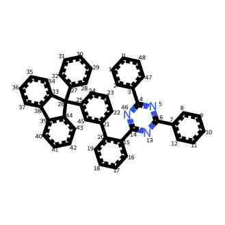 c1ccc(-c2nc(-c3ccccc3)nc(-c3ccccc3-c3cccc(C4(c5ccccc5)c5ccccc5-c5ccccc54)c3)n2)cc1